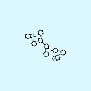 c1ccc(-n2c(-n3c4ccccc4c4cc(-c5ccc6c(c5)c5ccccc5n6-c5ccc6c(c5)C5(c7ccccc7-6)C6CC7CC(C6)CC5C7)ccc43)nc3ncccc32)cc1